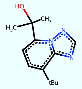 CC(C)(C)c1ccc(C(C)(C)O)n2ncnc12